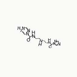 C=CN(/N=C\N)C(=O)NCCNCCNC(=O)n1cncn1